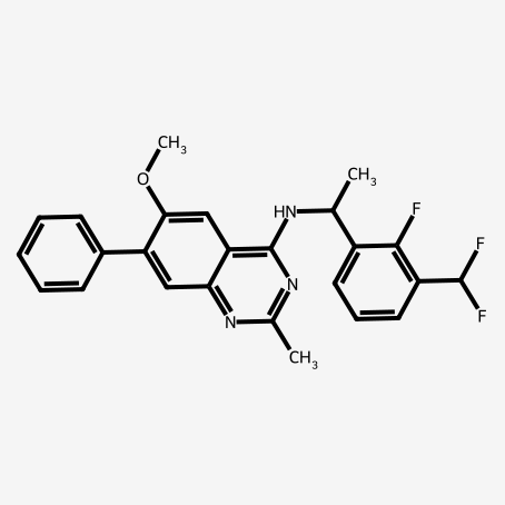 COc1cc2c(NC(C)c3cccc(C(F)F)c3F)nc(C)nc2cc1-c1ccccc1